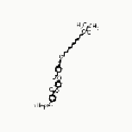 C=C(C)C(=O)OCCCCCCCCCCCOC#Cc1ccc(C(=O)Oc2ccc(OC(=O)C3CCC(OCCCCCCC)CC3)cc2)cc1